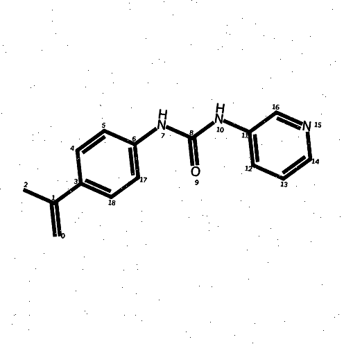 C=C(C)c1ccc(NC(=O)Nc2cccnc2)cc1